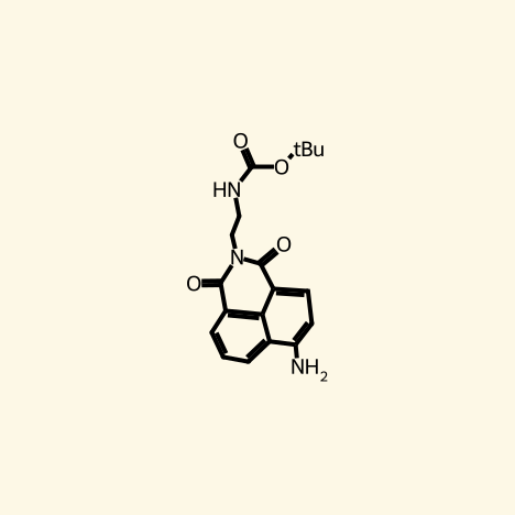 CC(C)(C)OC(=O)NCCN1C(=O)c2cccc3c(N)ccc(c23)C1=O